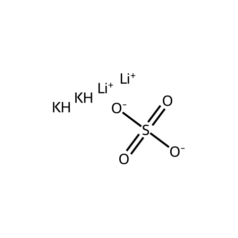 O=S(=O)([O-])[O-].[KH].[KH].[Li+].[Li+]